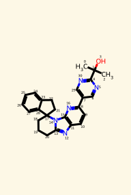 CC(C)(O)c1ncc(-c2ccc3nc4n(c3n2)C2(CCC4)CCc3ccccc32)cn1